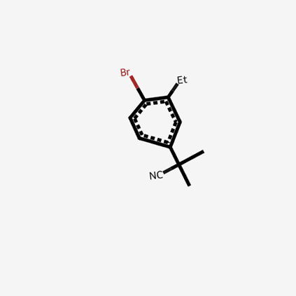 CCc1cc(C(C)(C)C#N)ccc1Br